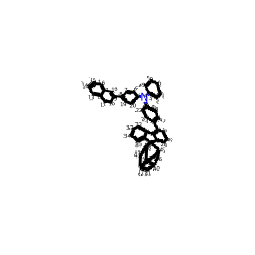 c1ccc(N(c2ccc(-c3ccc4ccccc4c3)cc2)c2ccc(-c3cccc4c3-c3ccccc3C43C4CC5CC(C4)CC3C5)cc2)cc1